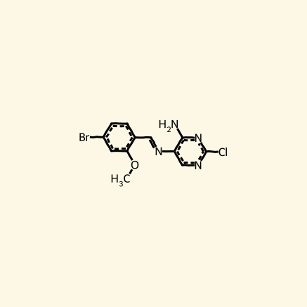 COc1cc(Br)ccc1C=Nc1cnc(Cl)nc1N